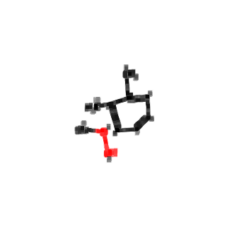 CC(C)(C)OO.Cc1ccccc1C